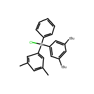 Cc1cc(C)cc([Si](Cl)(c2ccccc2)c2cc(C(C)(C)C)cc(C(C)(C)C)c2)c1